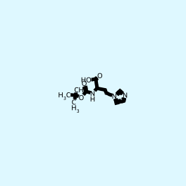 CC(C)(C)OC(=O)NC(CCn1ccnc1)C(=O)O